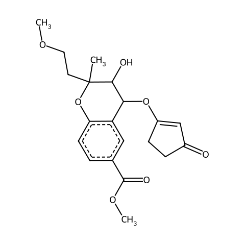 COCCC1(C)Oc2ccc(C(=O)OC)cc2C(OC2=CC(=O)CC2)C1O